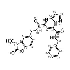 Cn1c(=O)oc2ccc(CNC(=O)c3cc(C(=O)NCc4ccncc4)n4nccc4n3)cc21